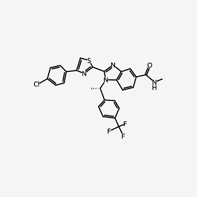 CNC(=O)c1ccc2c(c1)nc(-c1nc(-c3ccc(Cl)cc3)cs1)n2[C@@H](C)c1ccc(C(F)(F)F)cc1